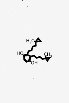 CC1(CCCCc2c(O)ccc(O)c2CCCCC2(C)CC2)CC1